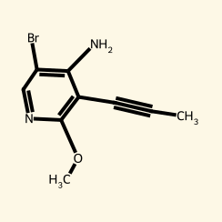 CC#Cc1c(OC)ncc(Br)c1N